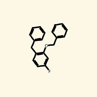 Fc1ccc(Cc2ccccc2)c(OCc2ccccc2)c1